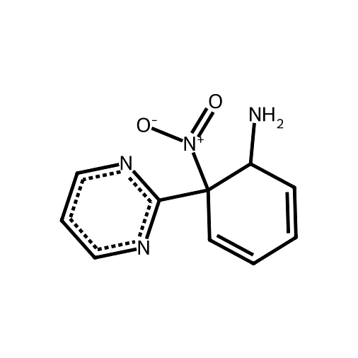 NC1C=CC=CC1(c1ncccn1)[N+](=O)[O-]